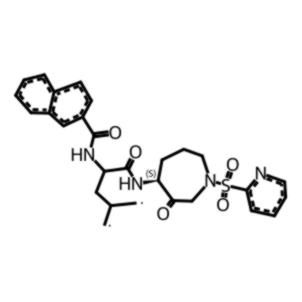 [CH2]C([CH2])CC(NC(=O)c1ccc2ccccc2c1)C(=O)N[C@H]1CCCN(S(=O)(=O)c2ccccn2)CC1=O